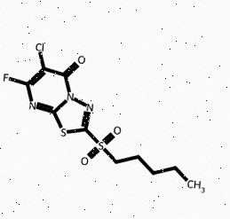 CCCCCS(=O)(=O)c1nn2c(=O)c(Cl)c(F)nc2s1